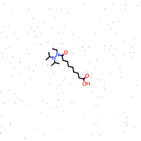 CCN(C(=O)CCCCCCCC(=O)O)N(C(C)C)C(C)C